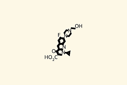 O=C(O)c1cn(C2CC2)c2nc3cc(N4CCN(CCO)CC4)c(F)cc3cc2c1=O